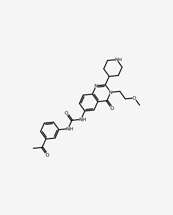 COCCn1c(C2CCNCC2)nc2ccc(NC(=O)Nc3cccc(C(C)=O)c3)cc2c1=O